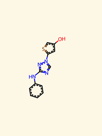 Oc1csc(-n2cnc(Nc3ccccc3)n2)c1